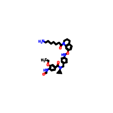 CCOc1cc(C(=O)N(Cc2ccc(NOc3ccc4c(c3)N(C(=O)CCCCCCN)CCC4)cc2)C2CC2)ccc1NC=O